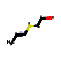 C/C=C/SCC=O